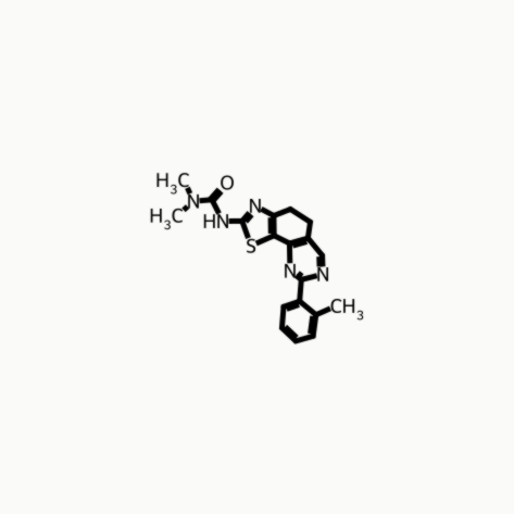 Cc1ccccc1-c1ncc2c(n1)-c1sc(NC(=O)N(C)C)nc1CC2